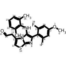 COc1cc(F)c(-c2nc3scc(CC=O)n3c2Nc2c(C)cccc2C)c(F)c1